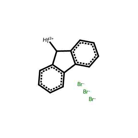 [Br-].[Br-].[Br-].[Hf+3][CH]1c2ccccc2-c2ccccc21